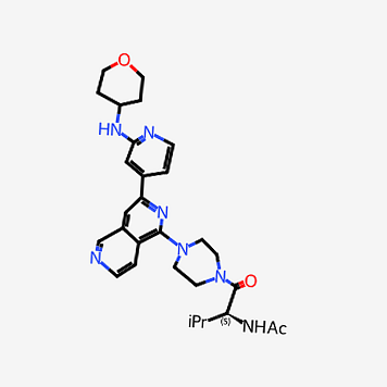 CC(=O)N[C@H](C(=O)N1CCN(c2nc(-c3ccnc(NC4CCOCC4)c3)cc3cnccc23)CC1)C(C)C